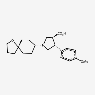 COc1ccc([C@@H]2CN([C@H]3CC[C@]4(CCCO4)CC3)C[C@H]2C(=O)O)cc1